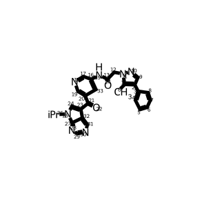 Cc1c(-c2ccccc2)cnn1CC(=O)Nc1cncc(C(=O)c2cn(C(C)C)c3ncncc23)c1